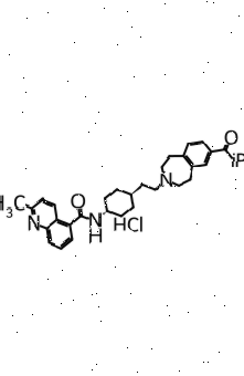 Cc1ccc2c(C(=O)N[C@H]3CC[C@H](CCN4CCc5ccc(C(=O)C(C)C)cc5CC4)CC3)cccc2n1.Cl